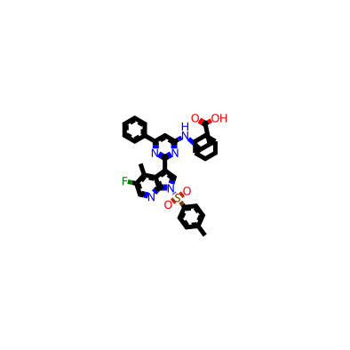 Cc1ccc(S(=O)(=O)n2cc(-c3nc(NC4C5CCC(CC5)C4C(=O)O)cc(-c4ccccc4)n3)c3c(C)c(F)cnc32)cc1